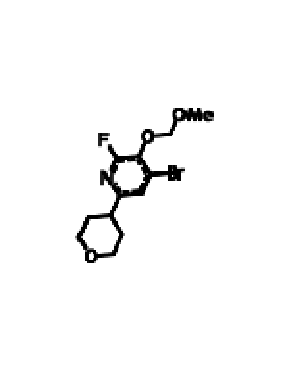 COCOc1c(Br)cc(C2CCOCC2)nc1F